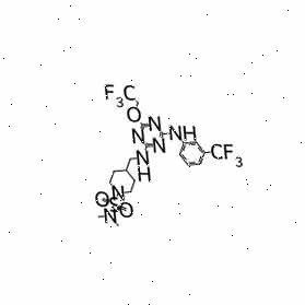 CN(C)S(=O)(=O)N1CCC(CNc2nc(Nc3cccc(C(F)(F)F)c3)nc(OCC(F)(F)F)n2)CC1